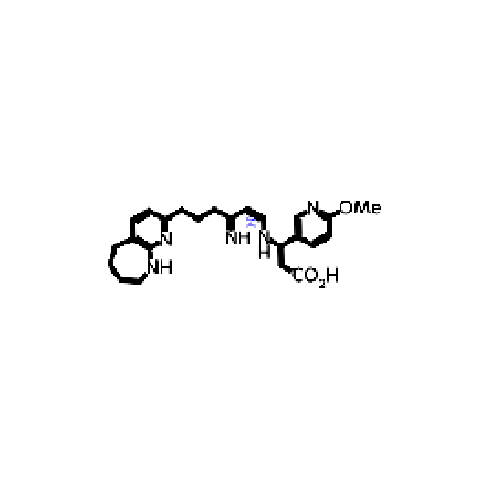 COc1ccc(C(CC(=O)O)N/C=C\C(=N)CCCc2ccc3c(n2)NCCCC3)cn1